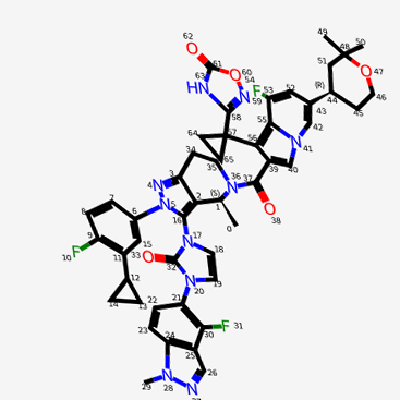 C[C@H]1c2c(nn(-c3ccc(F)c(C4CC4)c3)c2-n2ccn(-c3ccc4c(cnn4C)c3F)c2=O)CCN1C(=O)c1cn2cc([C@@H]3CCOC(C)(C)C3)cc(F)c2c1C1(c2noc(=O)[nH]2)CC1